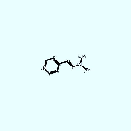 CC(C)N(/C=N/c1[c]cncc1)C(C)C